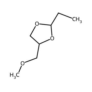 CCC1OCC(COC)O1